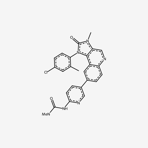 CNC(=O)Nc1ccc(-c2ccc3ncc4c(c3c2)n(-c2ccc(Cl)cc2C)c(=O)n4C)cn1